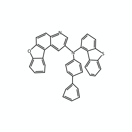 c1ccc(-c2ccc(N(c3cnc4ccc5oc6ccccc6c5c4c3)c3cccc4sc5ccccc5c34)cc2)cc1